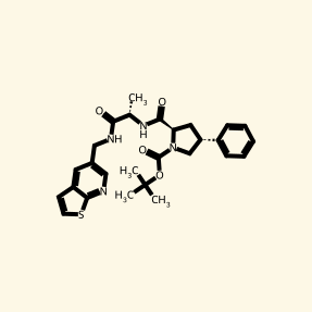 C[C@H](NC(=O)[C@H]1C[C@H](c2ccccc2)CN1C(=O)OC(C)(C)C)C(=O)NCc1cnc2sccc2c1